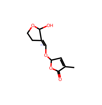 CC1=CC(O/C=C2\CCOC2O)OC1=O